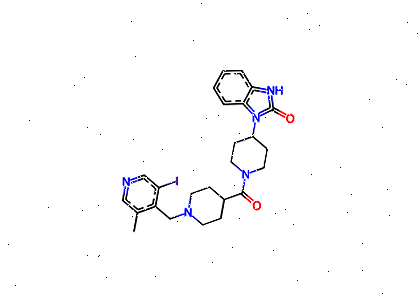 Cc1cncc(I)c1CN1CCC(C(=O)N2CCC(n3c(=O)[nH]c4ccccc43)CC2)CC1